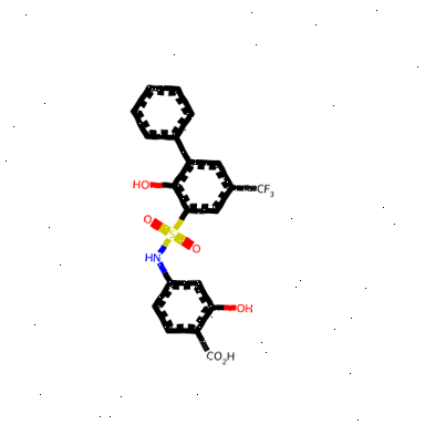 O=C(O)c1ccc(NS(=O)(=O)c2cc(C(F)(F)F)cc(-c3ccccc3)c2O)cc1O